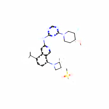 CO[C@@H]1CCN(c2ncnc(Nc3cc4c(C(C)C)ccc(N5C[C@@H](CS(C)(=O)=O)[C@@H]5C)c4cn3)n2)C[C@@H]1F